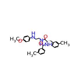 COc1ccc(NCCNC(=O)[C@H](Cc2cccc(C)c2)NC(=O)c2cccc(C)c2)cc1